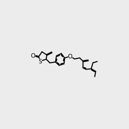 C=C(/C=C\C(=C/C)CC)CCOc1ccc(CC2SC(=O)CC2=C)cc1